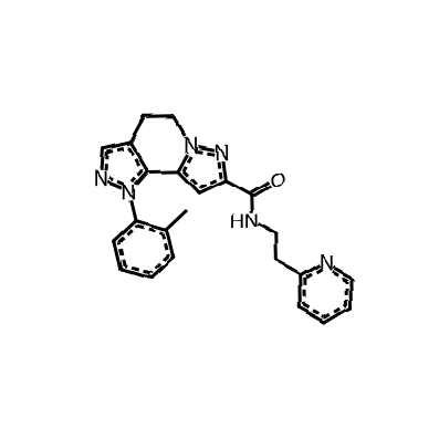 Cc1ccccc1-n1ncc2c1-c1cc(C(=O)NCCc3ccccn3)nn1CC2